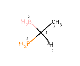 [3H]C(B)(C)P